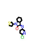 O=C1/C(=N\c2ccc(Cl)nc2)c2ccccc2N1c1ccsc1